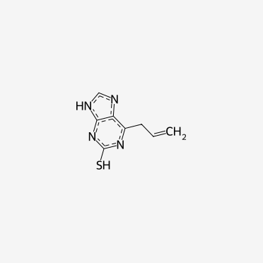 C=CCc1nc(S)nc2[nH]cnc12